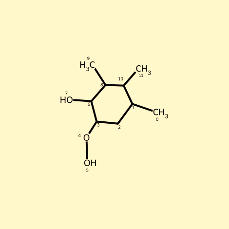 CC1CC(OO)C(O)C(C)C1C